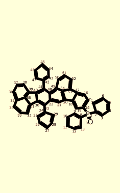 O=P(c1ccccc1)(c1ccccc1)c1ccc2c(c1)c1cc3c(-c4ccccc4)c4c5cccc6cccc(c4c(-c4ccccc4)c3c3cccc2c13)c65